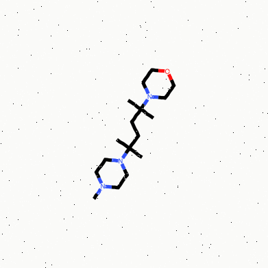 CN1CCN(C(C)(C)CCC(C)(C)N2CCOCC2)CC1